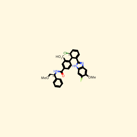 COC[C@@H](NC(=O)c1ccc(C2C(c3nc4cc(OC)c(F)cc4[nH]3)=CC=C[C@@H]2Cl)c(C(=O)O)c1)c1ccccc1